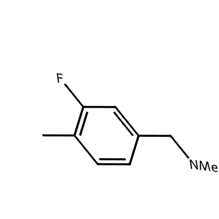 CNCc1ccc(C)c(F)c1